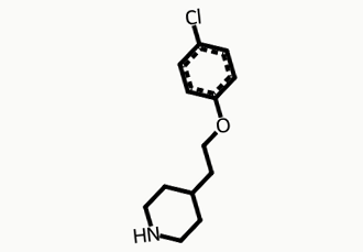 Clc1ccc(OCCC2CCNCC2)cc1